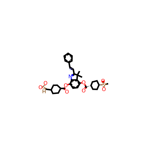 CC1(C)C(/C=C/c2ccccc2)=Nc2c(OC(=O)C3CCC(C[SH](=O)=O)CC3)ccc(OC(=O)[C@H]3CC[C@H](S(C)(=O)=O)CC3)c21